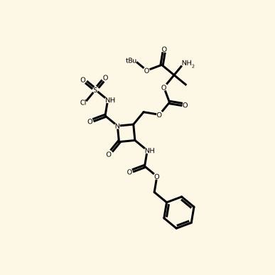 CC(C)(C)OC(=O)C(C)(N)OC(=O)OCC1C(NC(=O)OCc2ccccc2)C(=O)N1C(=O)NS(=O)(=O)Cl